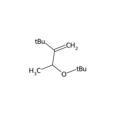 C=C(C(C)OC(C)(C)C)C(C)(C)C